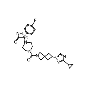 NC(=O)[C@H](c1ccc(F)cc1)N1CCN(C(=O)N2CC3(CC(n4cnc(C5CC5)n4)C3)C2)CC1